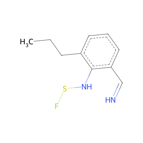 CCCc1cccc(C=N)c1NSF